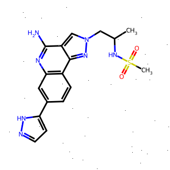 CC(Cn1cc2c(N)nc3cc(-c4ccn[nH]4)ccc3c2n1)NS(C)(=O)=O